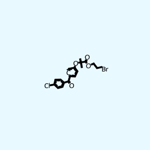 CC(C)(Oc1ccc(C(=O)c2ccc(Cl)cc2)cc1)C(=O)OCCCBr